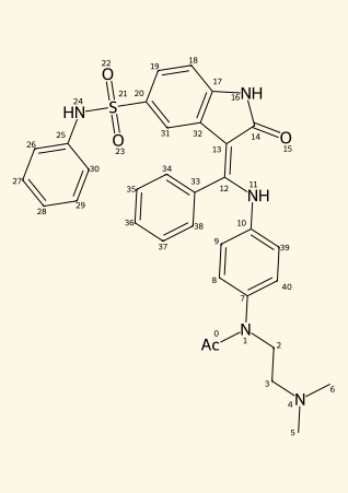 CC(=O)N(CCN(C)C)c1ccc(N/C(=C2\C(=O)Nc3ccc(S(=O)(=O)Nc4ccccc4)cc32)c2ccccc2)cc1